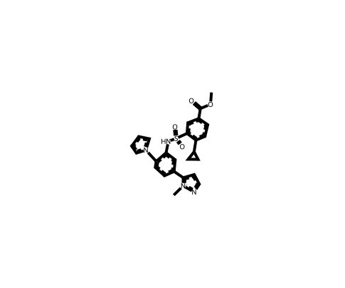 COC(=O)c1ccc(C2CC2)c(S(=O)(=O)Nc2cc(-c3ccnn3C)ccc2-n2cccc2)c1